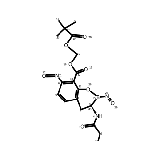 CCC(=O)N[C@H]1Cc2ccc(N=O)c(C(=O)OCOC(=O)C(C)(C)C)c2OB1N=O